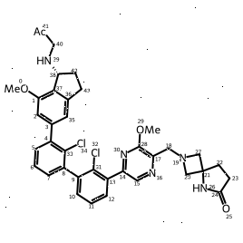 COc1cc(-c2cccc(-c3cccc(-c4cnc(CN5CC6(CCC(=O)N6)C5)c(OC)n4)c3Cl)c2Cl)cc2c1[C@H](NCC(C)=O)CC2